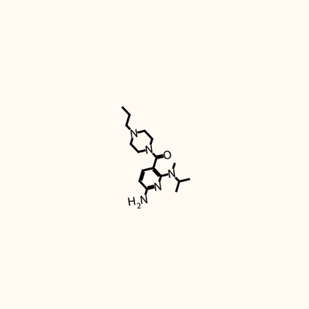 CCCN1CCN(C(=O)c2ccc(N)nc2N(C)C(C)C)CC1